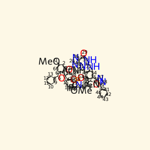 COc1ccc(C(OCc2ccccc2)(c2ccc(OC)cc2)C2OC(n3cnc4c(=O)[nH]c(Nc5cc(-c6nnc(-c7ccccc7)o6)ccc5NC(C)=O)nc43)CC2OP(OCCC#N)N(C(C)C)C(C)C)cc1